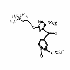 C[Si](C)(C)CCOc1nccc(C(=O)c2ccc(Cl)c(C(=O)[O-])c2)n1.[Na+]